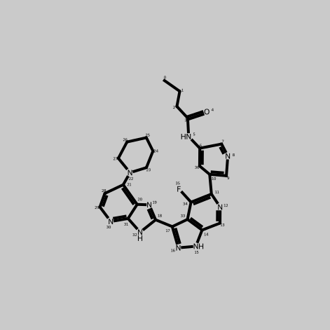 CCCC(=O)Nc1cncc(-c2ncc3[nH]nc(-c4nc5c(N6CCCCC6)ccnc5[nH]4)c3c2F)c1